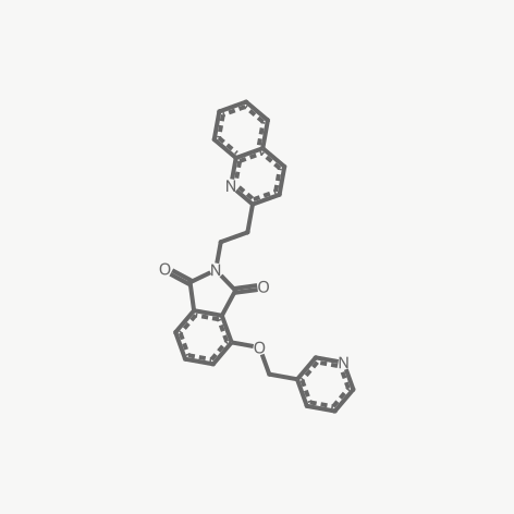 O=C1c2cccc(OCc3cccnc3)c2C(=O)N1CCc1ccc2ccccc2n1